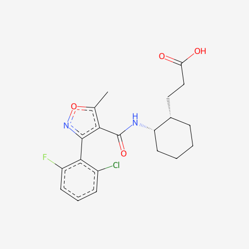 Cc1onc(-c2c(F)cccc2Cl)c1C(=O)N[C@H]1CCCC[C@H]1CCC(=O)O